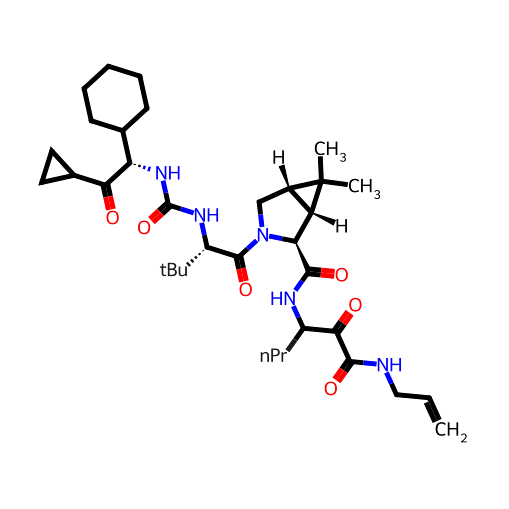 C=CCNC(=O)C(=O)C(CCC)NC(=O)[C@@H]1[C@@H]2[C@H](CN1C(=O)[C@@H](NC(=O)N[C@H](C(=O)C1CC1)C1CCCCC1)C(C)(C)C)C2(C)C